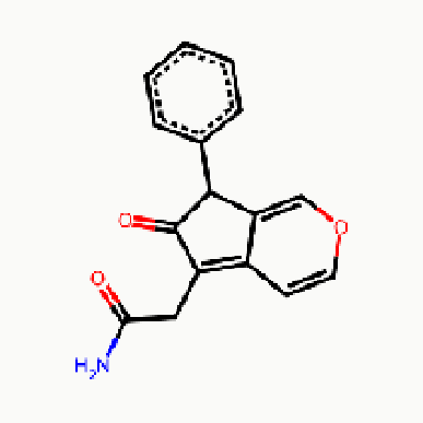 NC(=O)CC1=C2C=COC=C2C(c2ccccc2)C1=O